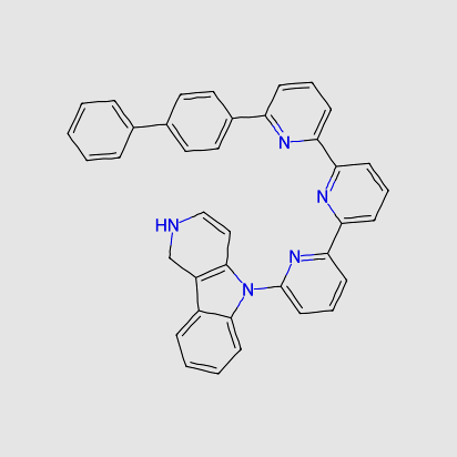 C1=Cc2c(c3ccccc3n2-c2cccc(-c3cccc(-c4cccc(-c5ccc(-c6ccccc6)cc5)n4)n3)n2)CN1